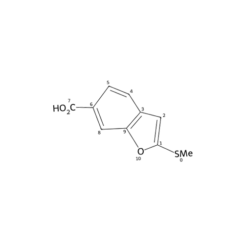 CSc1cc2ccc(C(=O)O)cc2o1